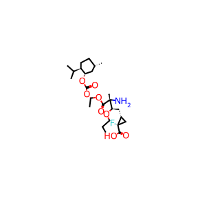 CCCO[C@H](C[C@@H]1C[C@@]1(F)C(=O)O)[C@@](C)(N)C(=O)OC(C)OC(=O)O[C@H]1C[C@@H](C)CC[C@@H]1C(C)C